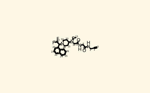 C#CCNC(=O)CNC(=O)CN(SC)C1CCN(C(c2cccc3ccccc23)C(F)F)CC1